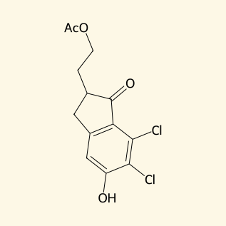 CC(=O)OCCC1Cc2cc(O)c(Cl)c(Cl)c2C1=O